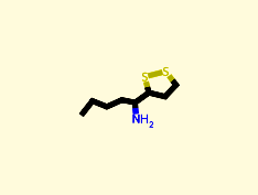 CCCCC(N)C1CCSS1